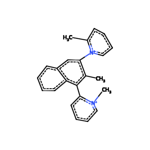 Cc1c(-[n+]2ccccc2C)cc2ccccc2c1-c1cccc[n+]1C